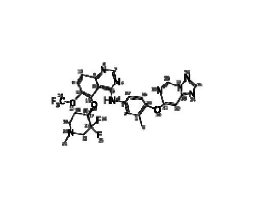 Cc1cc(Nc2ncnc3ccc(OC(F)(F)F)c(O[C@@H]4CCN(C)CC4(F)F)c23)ccc1Oc1cc2ncnn2cn1